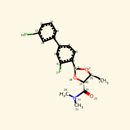 C[C@@H]1OB(c2ccc(-c3cccc(F)c3)cc2F)O[C@H]1C(=O)N(C)C